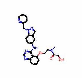 CN(CCOc1cccc2ncnc(Nc3ccc4c(cnn4Cc4ccccn4)c3)c12)C(=O)CO